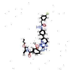 C=CCO[C@@H]1CN(C(=O)c2ccc(Nc3nc4ccc(-c5ccc(NC(=O)Cc6ccc(F)cc6)cc5)cn4n3)c(OC)c2)C1=C